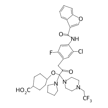 O=C(Nc1cc(F)c(CC(=O)C(OC2CCC(C(=O)O)CC2)(N2CCCC2)N2CCN(CC(F)(F)F)CC2)cc1Cl)c1coc2ccccc12